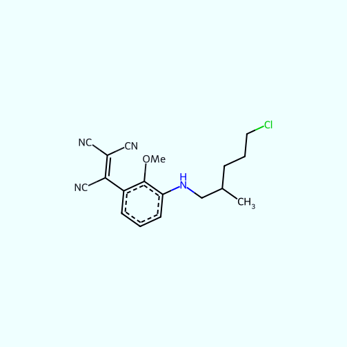 COc1c(NCC(C)CCCCl)cccc1C(C#N)=C(C#N)C#N